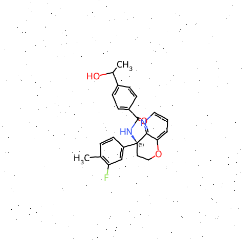 Cc1ccc([C@@]2(NC(=O)c3ccc(C(C)O)cc3)CCOc3cccnc32)cc1F